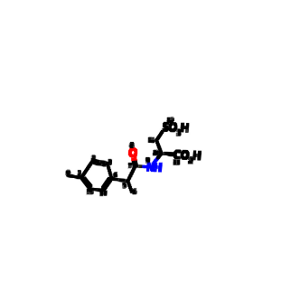 Cc1ccc(C(C)C(=O)N[C@@H](CS(=O)(=O)O)C(=O)O)cc1